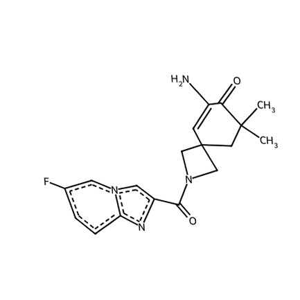 CC1(C)CC2(C=C(N)C1=O)CN(C(=O)c1cn3cc(F)ccc3n1)C2